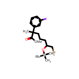 COC(=O)C(C)(CCCC(CBr)O[Si](C)(C)C(C)(C)C)c1cccc(I)c1